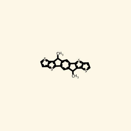 CC1c2cc3c(cc2-c2sc4ccsc4c21)C(C)c1c-3sc2ccsc12